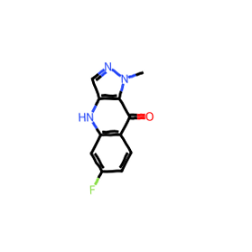 Cn1ncc2[nH]c3cc(F)ccc3c(=O)c21